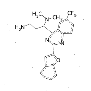 CN(C)C(CCN)c1nc(-c2cc3ccccc3o2)nc2ccc(C(F)(F)F)cc12